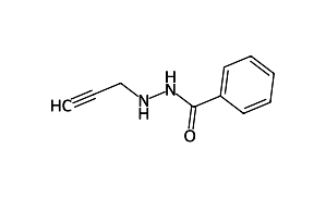 C#CCNNC(=O)c1ccccc1